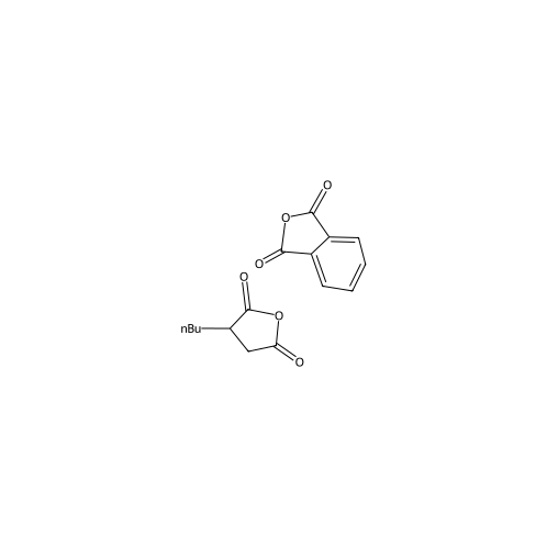 CCCCC1CC(=O)OC1=O.O=C1OC(=O)c2ccccc21